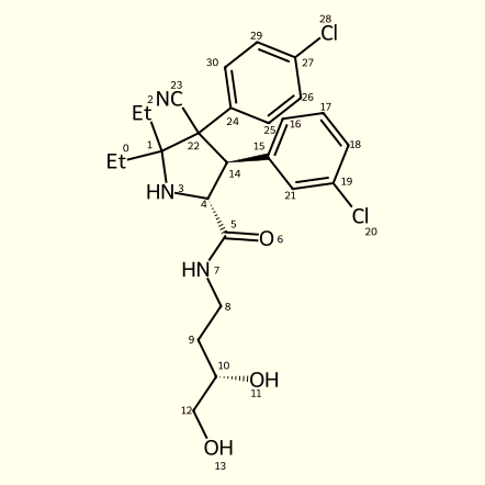 CCC1(CC)N[C@@H](C(=O)NCC[C@H](O)CO)[C@H](c2cccc(Cl)c2)C1(C#N)c1ccc(Cl)cc1